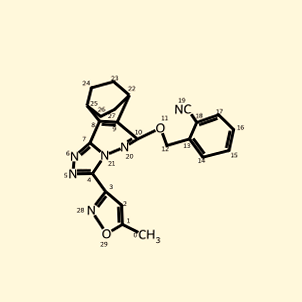 Cc1cc(-c2nnc3c4c(c(OCc5ccccc5C#N)nn23)C2CCC4CC2)no1